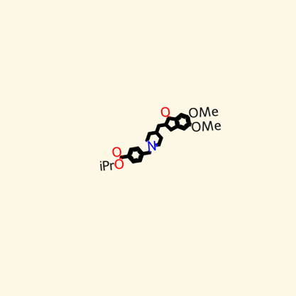 COc1cc2c(cc1OC)C(=O)C(CC1CCN(Cc3ccc(C(=O)OC(C)C)cc3)CC1)C2